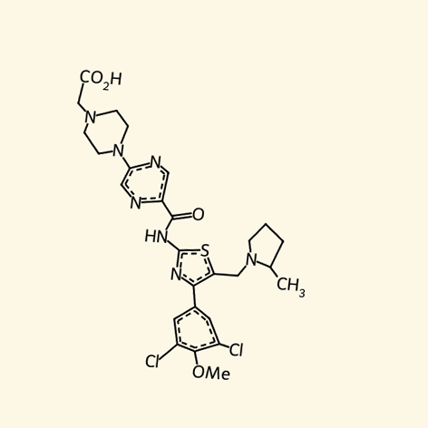 COc1c(Cl)cc(-c2nc(NC(=O)c3cnc(N4CCN(CC(=O)O)CC4)cn3)sc2CN2CCCC2C)cc1Cl